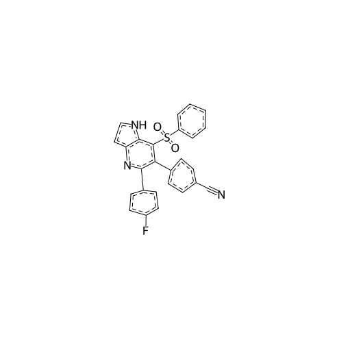 N#Cc1ccc(-c2c(-c3ccc(F)cc3)nc3cc[nH]c3c2S(=O)(=O)c2ccccc2)cc1